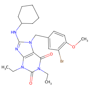 CCn1c(=O)c2c(nc(NC3CCCCC3)n2Cc2ccc(OC)c(Br)c2)n(CC)c1=O